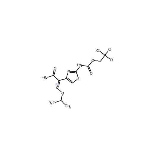 CC(C)O/N=C(/C([NH])=O)c1csc(NC(=O)OCC(Cl)(Cl)Cl)n1